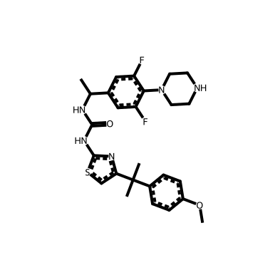 COc1ccc(C(C)(C)c2csc(NC(=O)NC(C)c3cc(F)c(N4CCNCC4)c(F)c3)n2)cc1